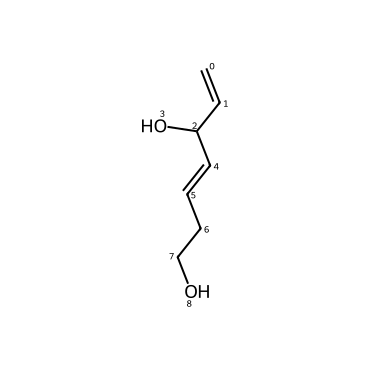 C=CC(O)C=CCCO